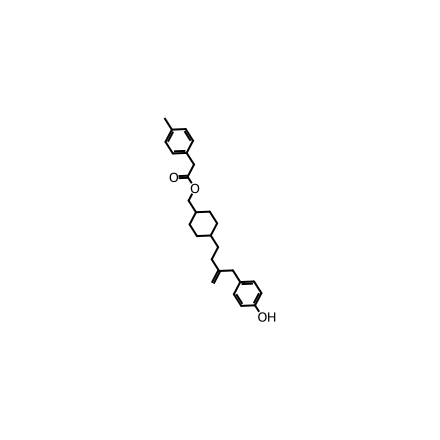 C=C(CCC1CCC(COC(=O)Cc2ccc(C)cc2)CC1)Cc1ccc(O)cc1